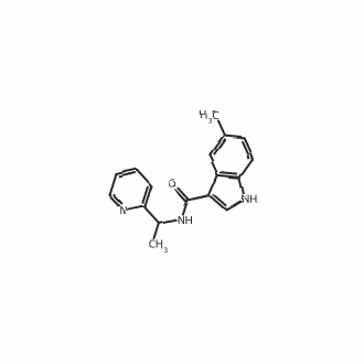 Cc1ccc2[nH]cc(C(=O)NC(C)c3ccccn3)c2c1